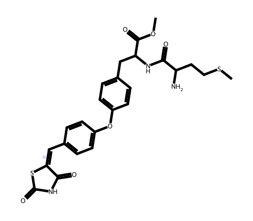 COC(=O)C(Cc1ccc(Oc2ccc(/C=C3/SC(=O)NC3=O)cc2)cc1)NC(=O)C(N)CCSC